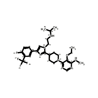 CCOc1c(NC)ncnc1N1CCC(c2nc(-c3ccc(F)c(C(F)(F)F)c3)cn2CCNC(C)C)CC1